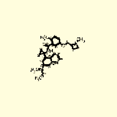 Cc1ccc(OCC2CCN2C)cc1C(=O)NC1(c2cc(N(C)CC(F)(F)F)cc3ncccc23)CC1